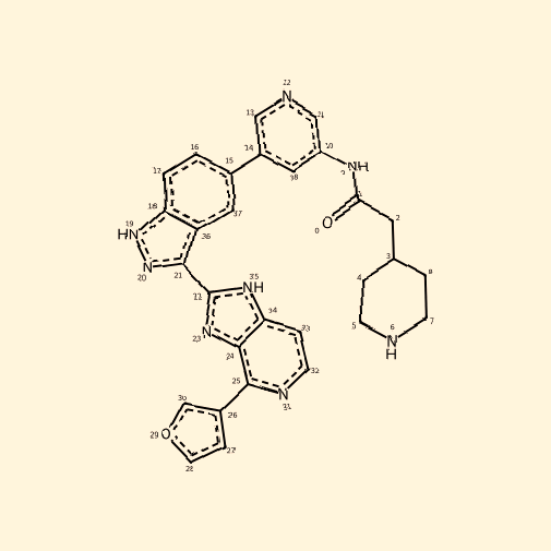 O=C(CC1CCNCC1)Nc1cncc(-c2ccc3[nH]nc(-c4nc5c(-c6ccoc6)nccc5[nH]4)c3c2)c1